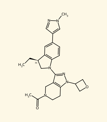 CC[C@@H]1CN(c2nn(C3COC3)c3c2CN(C(C)=O)CC3)c2ccc(-c3cnn(C)c3)cc21